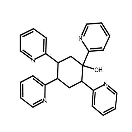 OC1(c2ccccn2)CC(c2ccccn2)C(c2ccccn2)CC1c1ccccn1